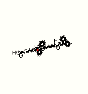 CC(C)(COCCCSCCC(=O)O)O[Si](OCCCCCCNC(=O)OCC1c2ccccc2-c2ccccc21)(c1ccccc1)c1ccccc1